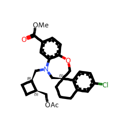 COC(=O)c1ccc2c(c1)N(C[C@@H]1CC[C@@H]1COC(C)=O)C[C@@]1(CCCc3cc(Cl)ccc31)CO2